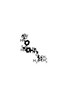 CC(C)(C)OC(=O)N[C@H]1CCC[C@@H](n2c(=S)[nH]c3cnc(-c4ncn(COCC[Si](C)(C)C)n4)cc32)C1